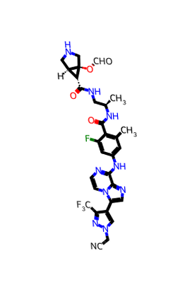 Cc1cc(Nc2nccn3c(-c4cn(CC#N)nc4C(F)(F)F)cnc23)cc(F)c1C(=O)N[C@H](C)CNC(=O)[C@@H]1[C@H]2CNC[C@@]21OC=O